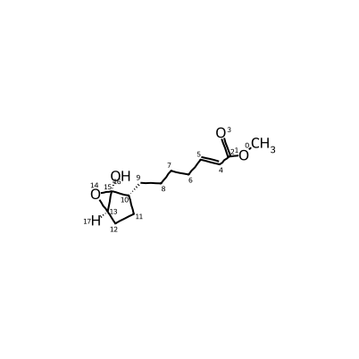 COC(=O)C=CCCCC[C@@H]1CC[C@H]2O[C@@]12O